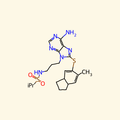 CC1=CC2CCCC2C=C1Sc1nc2c(N)ncnc2n1CCCNS(=O)(=O)C(C)C